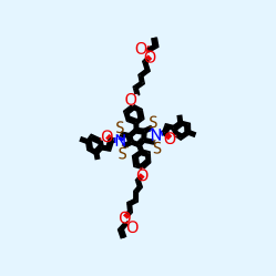 C=CC(=O)OCCCCCCOc1ccc(-c2c3c(=S)n(-c4cc5c(C)cc(C)cc5o4)c(=S)c3c(-c3ccc(OCCCCCCOC(=O)C=C)cc3)c3c(=S)n(-c4cc5c(C)cc(C)cc5o4)c(=S)c23)cc1